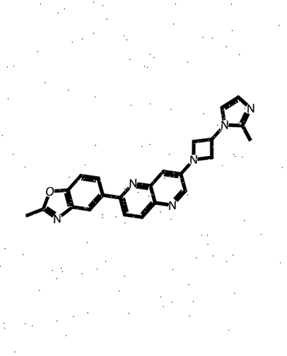 Cc1nc2cc(-c3ccc4ncc(N5CC(n6ccnc6C)C5)cc4n3)ccc2o1